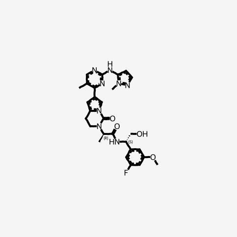 COc1cc(F)cc([C@@H](CO)NC(=O)[C@@H](C)N2CCc3cc(-c4nc(Nc5ccnn5C)ncc4C)cn3C2=O)c1